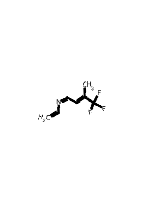 C=C/N=C\C=C(/C)C(F)(F)F